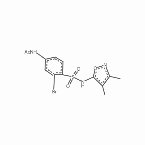 CC(=O)Nc1ccc(S(=O)(=O)Nc2onc(C)c2C)c(Br)c1